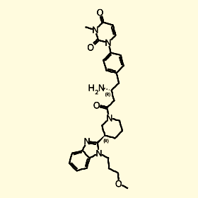 COCCCn1c([C@@H]2CCCN(C(=O)C[C@H](N)Cc3ccc(-n4ccc(=O)n(C)c4=O)cc3)C2)nc2ccccc21